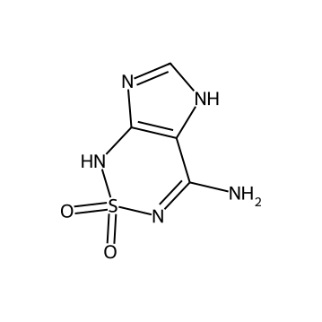 NC1=NS(=O)(=O)Nc2nc[nH]c21